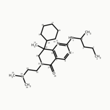 CCCC(C)Nc1ncc2c(n1)C(C)(C1CCCCC1)CN(CCN(C)C)C2=O